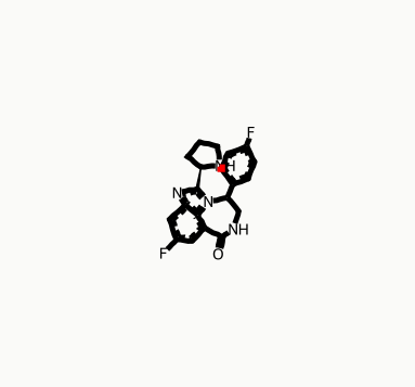 O=C1NCC(c2ccc(F)cc2)n2c([C@H]3CCCN3)nc3cc(F)cc1c32